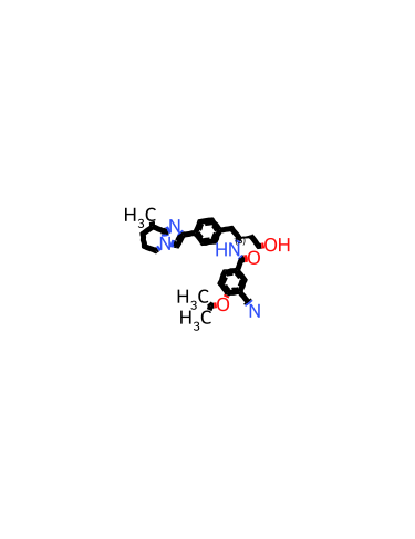 CC(C)Oc1ccc(C(=O)N[C@H](CCO)Cc2ccc(-c3cn4c(n3)C(C)CCC4)cc2)cc1C#N